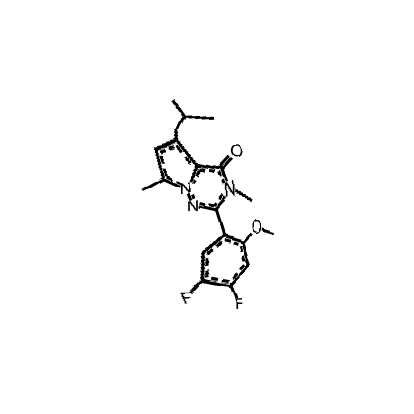 COc1cc(F)c(F)cc1-c1nn2c(C)cc(C(C)C)c2c(=O)n1C